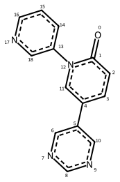 O=c1ccc(-c2cncnc2)cn1-c1cccnc1